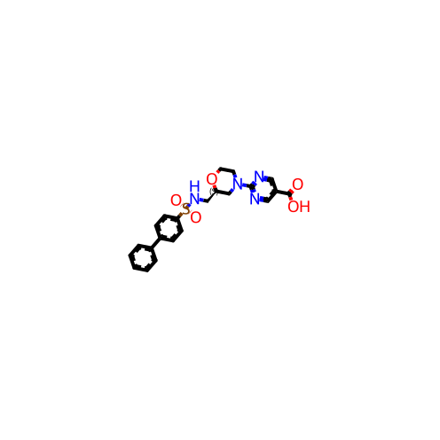 O=C(O)c1cnc(N2CCO[C@H](CNS(=O)(=O)c3ccc(-c4ccccc4)cc3)C2)nc1